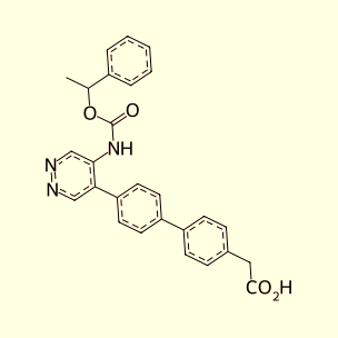 CC(OC(=O)Nc1cnncc1-c1ccc(-c2ccc(CC(=O)O)cc2)cc1)c1ccccc1